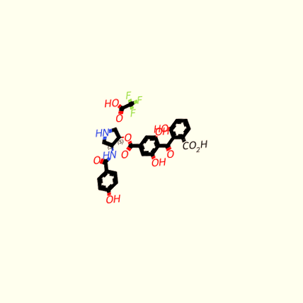 O=C(N[C@H]1CNC[C@@H]1OC(=O)c1cc(O)c(C(=O)c2c(O)cccc2C(=O)O)c(O)c1)c1ccc(O)cc1.O=C(O)C(F)(F)F